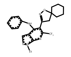 CCn1ncc2c(Nc3ccccc3)c(C3=NOC4(CCCCC4)C3)c(C(F)(F)F)nc21